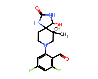 CC1(C)CN(c2cc(F)cc(F)c2C=O)CCC12NC(=O)NC2O